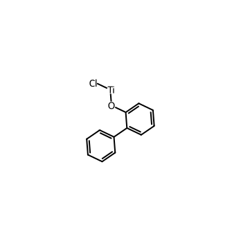 [Cl][Ti][O]c1ccccc1-c1ccccc1